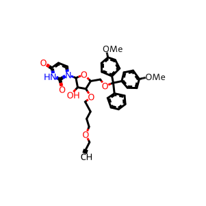 C#CCOCCCCOC1C(COC(c2ccccc2)(c2ccc(OC)cc2)c2ccc(OC)cc2)OC(n2ccc(=O)[nH]c2=O)C1O